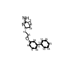 NC1=N[C@@H](CCOc2cccc(-c3ccccc3)c2)CO1